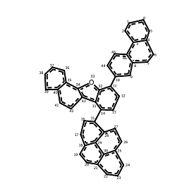 c1ccc2c(c1)ccc1cc(-c3ccc(-c4ccc5ccc6cccc7ccc4c5c67)c4c3oc3c5ccccc5ccc34)ccc12